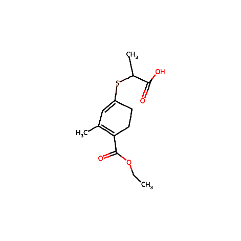 CCOC(=O)C1=C(C)C=C(SC(C)C(=O)O)CC1